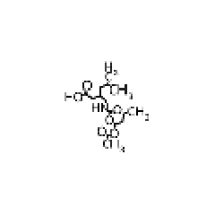 CCCC(OC(C)=O)OC(=O)NCC(CC(=O)O)CC(C)C